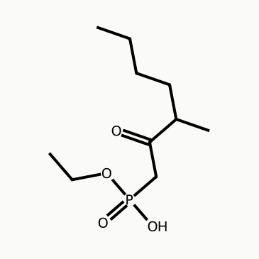 CCCCC(C)C(=O)CP(=O)(O)OCC